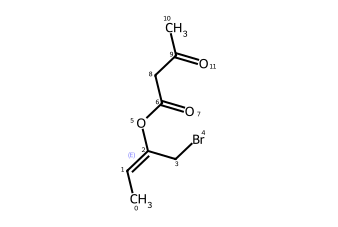 C/C=C(\CBr)OC(=O)CC(C)=O